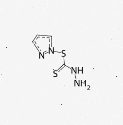 NNC(=S)Sn1cccn1